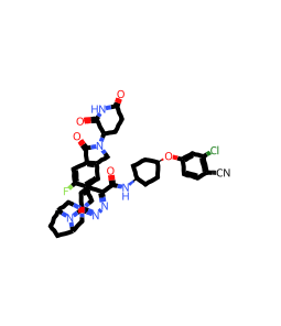 N#Cc1ccc(O[C@H]2CC[C@H](NC(=O)c3ccc(N4C5CCC4CN(Cc4cc6c(cc4F)C(=O)N(C4CCC(=O)NC4=O)C6)C5)nn3)CC2)cc1Cl